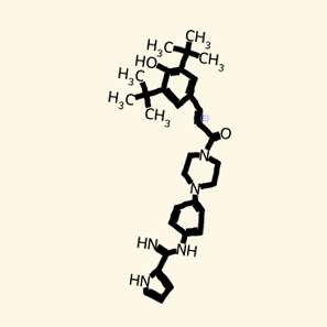 CC(C)(C)c1cc(/C=C/C(=O)N2CCN(c3ccc(NC(=N)c4ccc[nH]4)cc3)CC2)cc(C(C)(C)C)c1O